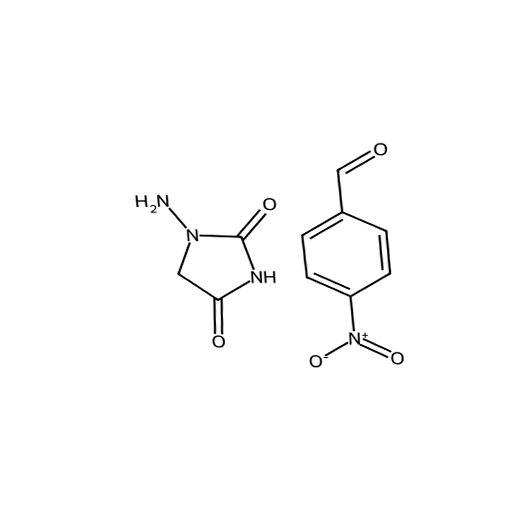 NN1CC(=O)NC1=O.O=Cc1ccc([N+](=O)[O-])cc1